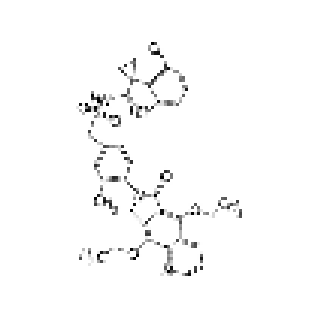 CCOc1c2c(c(OCC)c3ncccc13)CN(c1ccc(CS(=O)(=O)NC(=O)C3(c4c(Cl)cccc4Cl)CC3)cc1C)C2=O